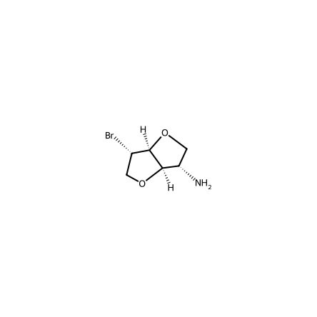 N[C@H]1CO[C@H]2[C@@H]1OC[C@@H]2Br